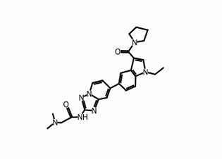 CCn1cc(C(=O)N2CCCC2)c2cc(-c3ccn4nc(NC(=O)CN(C)C)nc4c3)ccc21